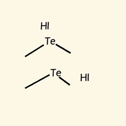 C[Te]C.C[Te]C.I.I